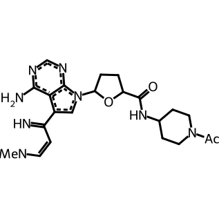 CN/C=C\C(=N)c1cn(C2CCC(C(=O)NC3CCN(C(C)=O)CC3)O2)c2ncnc(N)c12